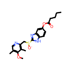 CCCCC(=O)Oc1ccc2[nH]c([S+]([O-])Cc3ncc(C)c(OC)c3C)nc2c1